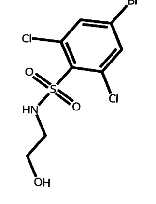 O=S(=O)(NCCO)c1c(Cl)cc(Br)cc1Cl